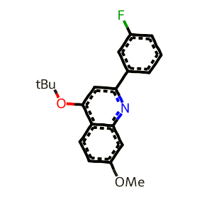 COc1ccc2c(OC(C)(C)C)cc(-c3cccc(F)c3)nc2c1